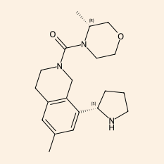 Cc1cc2c(c([C@@H]3CCCN3)c1)CN(C(=O)N1CCOC[C@H]1C)CC2